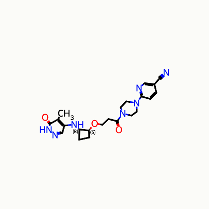 Cc1c(N[C@@H]2CC[C@@H]2OCCC(=O)N2CCN(c3ccc(C#N)cn3)CC2)cn[nH]c1=O